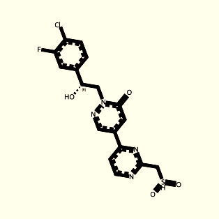 O=c1cc(-c2ccnc(C[SH](=O)=O)n2)cnn1C[C@H](O)c1ccc(Cl)c(F)c1